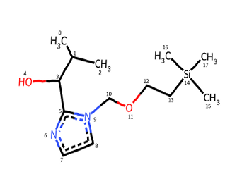 CC(C)C(O)c1nccn1COCC[Si](C)(C)C